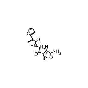 C=C(C(=O)NCC(=O)C(C(C)C)[C@H](N)C(N)=O)c1ccco1